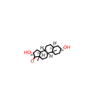 C[C@]12CC[C@@H](O)C[C@@H]1CC[C@@H]1[C@@H]2CC[C@]2(C)C(=O)[C@H](O)C[C@@H]12